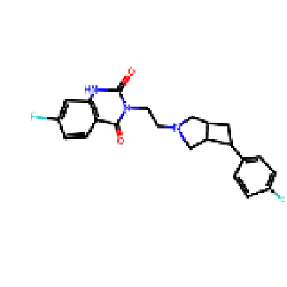 O=c1[nH]c2cc(F)ccc2c(=O)n1CCN1CC2CC(c3ccc(F)cc3)C2C1